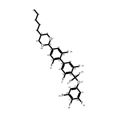 CCCCCC1COC(c2cc(F)c(-c3cc(F)c(C(F)(F)Oc4cc(F)c(F)c(F)c4)c(F)c3)c(F)c2)OC1